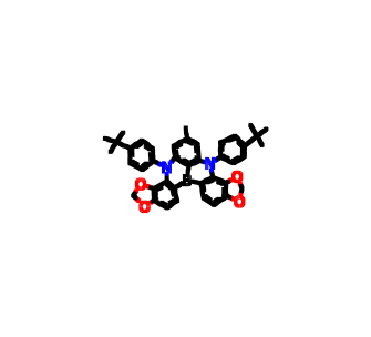 Cc1cc2c3c(c1)N(c1ccc(C(C)(C)C)cc1)c1c(ccc4c1OCO4)B3c1ccc3c(c1N2c1ccc(C(C)(C)C)cc1)OCO3